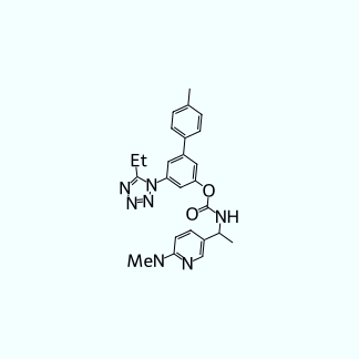 CCc1nnnn1-c1cc(OC(=O)NC(C)c2ccc(NC)nc2)cc(-c2ccc(C)cc2)c1